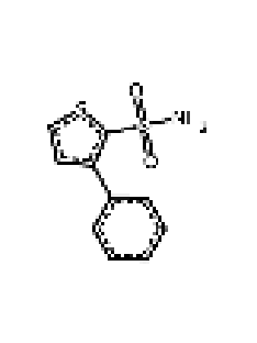 NS(=O)(=O)c1sccc1-c1ccccc1